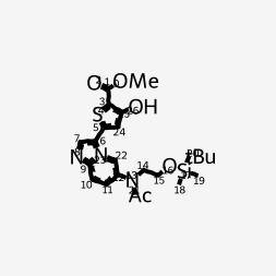 COC(=O)c1sc(-c2cnc3ccc(N(CCO[Si](C)(C)C(C)(C)C)C(C)=O)cn23)cc1O